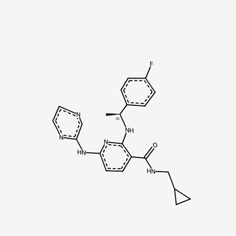 C[C@H](Nc1nc(Nc2cnccn2)ccc1C(=O)NCC1CC1)c1ccc(F)cc1